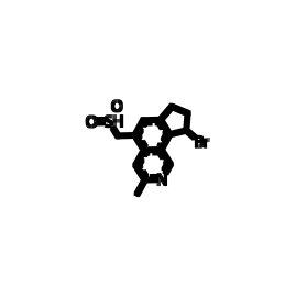 Cc1cc2c(C[SH](=O)=O)cc3c(c2cn1)C(Br)CC3